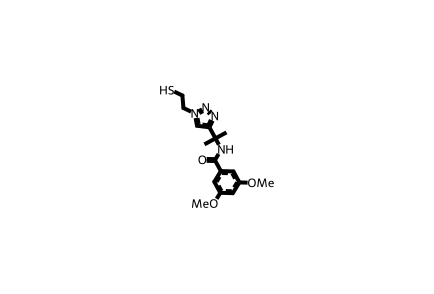 COc1cc(OC)cc(C(=O)NC(C)(C)c2cn(CCS)nn2)c1